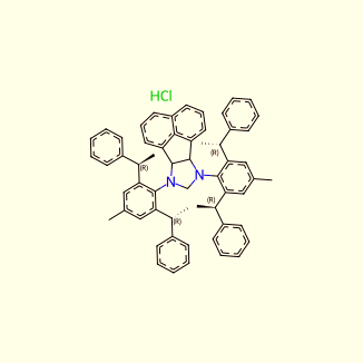 Cc1cc([C@H](C)c2ccccc2)c(N2CN(c3c([C@H](C)c4ccccc4)cc(C)cc3[C@H](C)c3ccccc3)C3c4cccc5cccc(c45)C32)c([C@H](C)c2ccccc2)c1.Cl